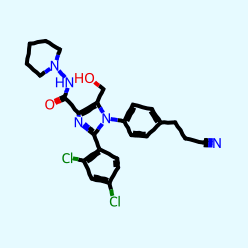 N#CCCc1ccc(-n2c(-c3ccc(Cl)cc3Cl)nc(C(=O)NN3CCCCC3)c2CO)cc1